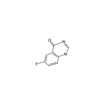 O=C1N=C[N]c2ccc(F)cc21